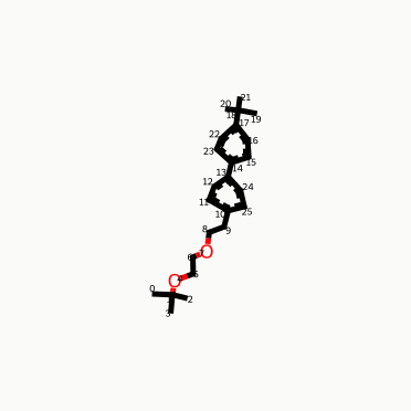 CC(C)(C)OCCOCCc1ccc(-c2ccc(C(C)(C)C)cc2)cc1